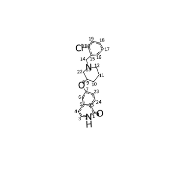 O=c1[nH]ccc2cc(OC3CCCN(Cc4ccccc4Cl)C3)ccc12